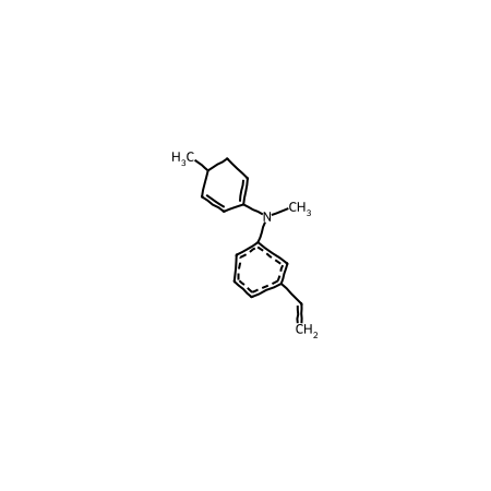 C=Cc1cccc(N(C)C2=CCC(C)C=C2)c1